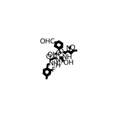 Cc1ccc(CNC(=O)[C@H](COc2cccc(C=O)c2)N[C@](C=O)(NC(=O)c2cc(C)on2)[C@@H](C)O)c(F)c1